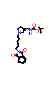 CC(C)(C)OC(=O)NC[C@H]1CCN(CCCCCN2C(=O)c3ccccc3C2=O)C1